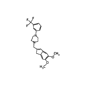 COc1cc2c(cc1OC)CC(CN1CCN(c3cccc(C(F)(F)F)c3)CC1)=C2